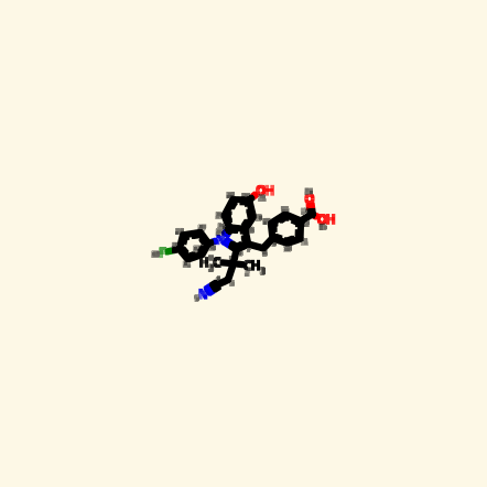 CC(C)(CC#N)c1c(Cc2ccc(C(=O)O)cc2)c2cc(O)ccc2n1-c1ccc(F)cc1